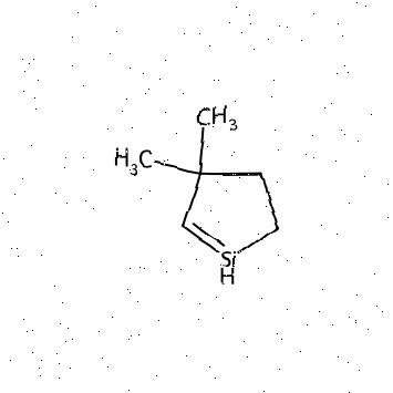 CC1(C)C=[SiH]CC1